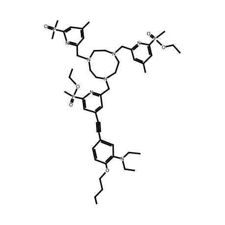 CCCCOc1ccc(C#Cc2cc(CN3CCN(Cc4cc(C)cc(P(C)(C)=O)n4)CCN(Cc4cc(C)cc(P(C)(=O)OCC)n4)CC3)nc(P(C)(=O)OCC)c2)cc1N(CC)CC